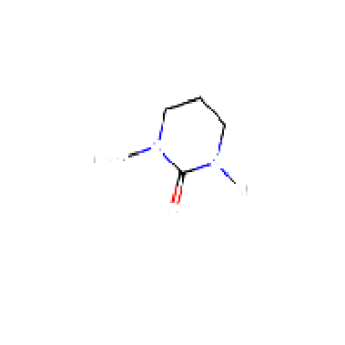 CCCCCCN1CCCN(CCCC)C1=O